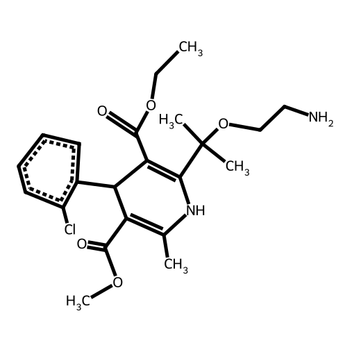 CCOC(=O)C1=C(C(C)(C)OCCN)NC(C)=C(C(=O)OC)C1c1ccccc1Cl